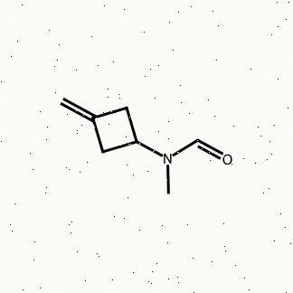 C=C1CC(N(C)C=O)C1